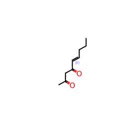 CCC/C=C/C(=O)CC(C)=O